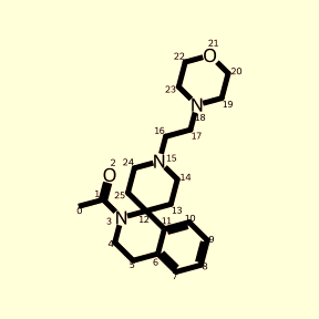 CC(=O)N1CCc2ccccc2C12CCN(CCN1CCOCC1)CC2